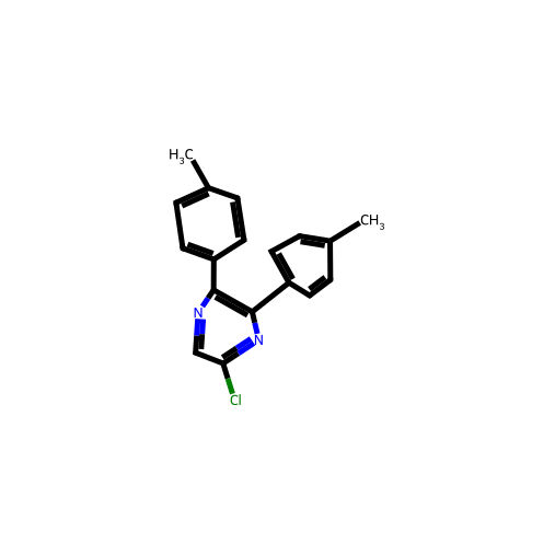 Cc1ccc(-c2ncc(Cl)nc2-c2ccc(C)cc2)cc1